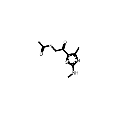 CNc1nc(C)c(C(=O)CSC(C)=O)s1